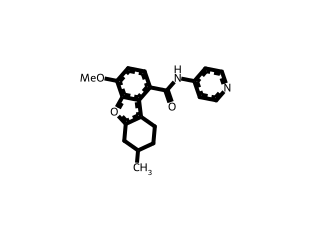 COc1ccc(C(=O)Nc2ccncc2)c2c3c(oc12)CC(C)CC3